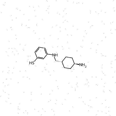 N[C@H]1CC[C@H](CNc2cccc(S)c2)CC1